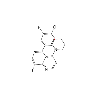 Fc1cc(-c2ccc(F)c3ncnc(N4CCCCC4)c23)ccc1Cl